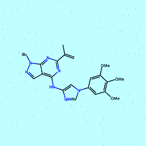 C=C(C)c1nc(Nc2cn(-c3cc(OC)c(OC)c(OC)c3)cn2)c2cnn(C(C)CC)c2n1